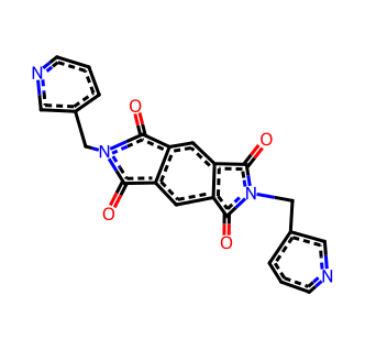 O=c1c2cc3c(=O)n(Cc4cccnc4)c(=O)c3cc2c(=O)n1Cc1cccnc1